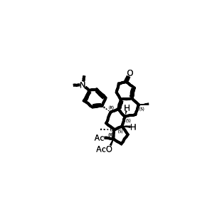 CC(=O)O[C@]1(C(C)=O)CC[C@H]2[C@@H]3C[C@H](C)C4=CC(=O)CCC4=C3[C@@H](c3ccc(N(C)C)cc3)C[C@@]21C